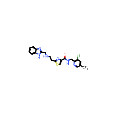 O=C(NCc1ncc(C(F)(F)F)cc1Cl)c1csc(CCNCc2nc3ccccc3[nH]2)n1